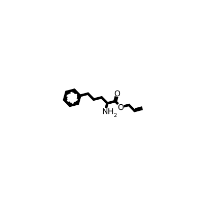 C=CCOC(=O)C(N)CCCc1ccccc1